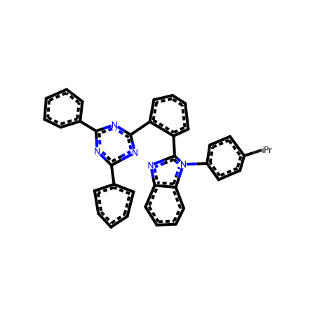 CC(C)c1ccc(-n2c(-c3ccccc3-c3nc(-c4ccccc4)nc(-c4ccccc4)n3)nc3ccccc32)cc1